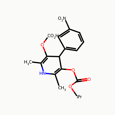 CC1=C(OC(=O)O)C(c2cccc([N+](=O)[O-])c2)C(OC(=O)OC(C)C)=C(C)N1